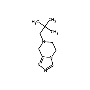 CC(C)(C)CN1CCn2cnnc2C1